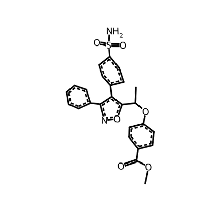 COC(=O)c1ccc(OC(C)c2onc(-c3ccccc3)c2-c2ccc(S(N)(=O)=O)cc2)cc1